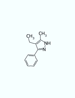 CCc1c(-c2ccccc2)n[nH]c1C